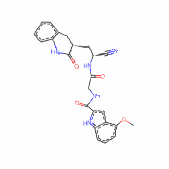 COc1cccc2[nH]c(C(=O)NCC(=O)N[C@H](C#N)C[C@@H]3Cc4ccccc4NC3=O)cc12